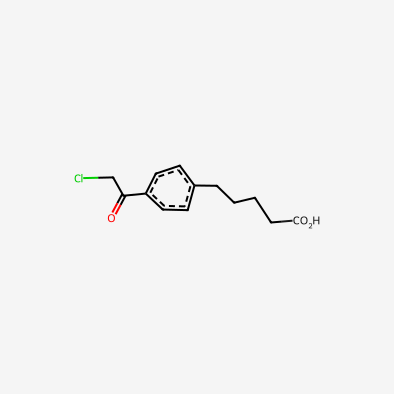 O=C(O)CCCCc1ccc(C(=O)CCl)cc1